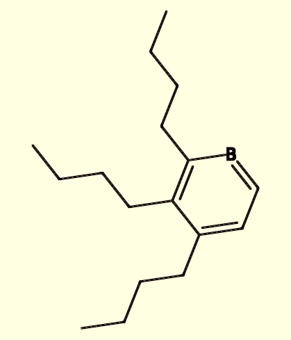 CCCCc1bccc(CCCC)c1CCCC